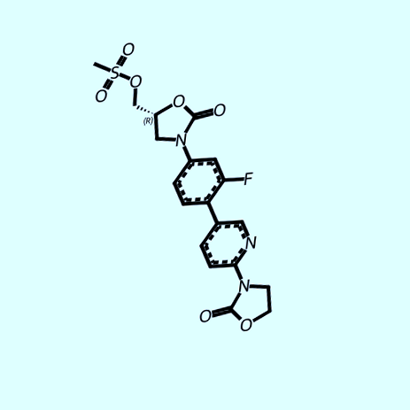 CS(=O)(=O)OC[C@H]1CN(c2ccc(-c3ccc(N4CCOC4=O)nc3)c(F)c2)C(=O)O1